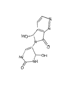 O=C1NC=C(N2C(=O)c3nnccc3C2O)C(O)N1